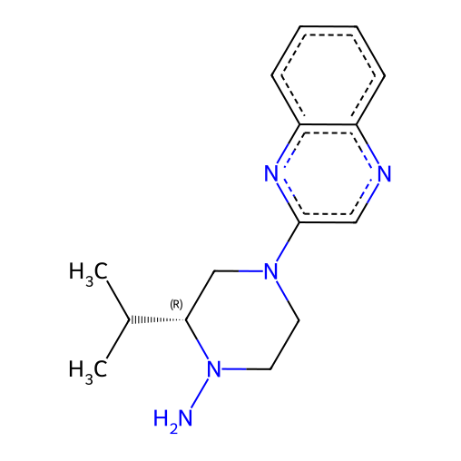 CC(C)[C@@H]1CN(c2cnc3ccccc3n2)CCN1N